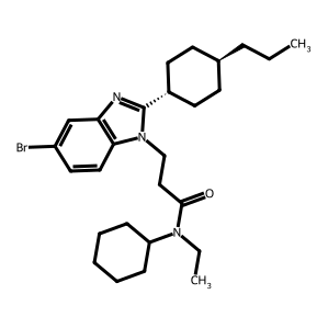 CCC[C@H]1CC[C@H](c2nc3cc(Br)ccc3n2CCC(=O)N(CC)C2CCCCC2)CC1